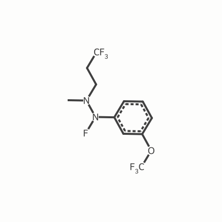 CN(CCC(F)(F)F)N(F)c1cccc(OC(F)(F)F)c1